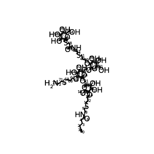 C#CCCCC(=O)NCCSCCCO[C@H]1[C@@H](OC)O[C@H](CO[C@H]2O[C@H](CO[C@H]3O[C@H](CO)[C@@H](O)[C@H](O)[C@H]3OCCCSCCNC(=O)CS[C@H]3OC(CO)[C@@H](O)[C@H](O)C3O)[C@@H](O)[C@H](O)[C@H]2OCCCSCCN)[C@@H](O)[C@@H]1O